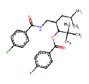 CC(C)CC(CNC(=O)c1ccc(F)cc1)C(OC(=O)c1ccc(F)cc1)C(C)(C)C